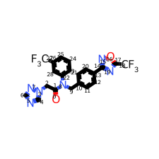 O=C(Cn1cncn1)N(Cc1ccc(-c2noc(C(F)(F)F)n2)cc1)c1cccc(C(F)(F)F)c1